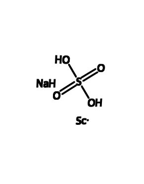 O=S(=O)(O)O.[NaH].[Sc]